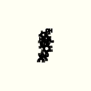 C[C@@H]1C[C@]2(C)[C@@H](O)CC[C@H]2[C@@H]2CC=C3C[C@@H](O[Si](C)(C)C(C)(C)C)CC[C@]3(C)[C@H]21